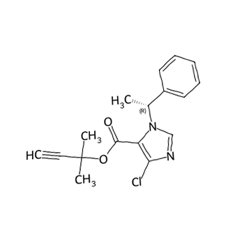 C#CC(C)(C)OC(=O)c1c(Cl)ncn1[C@H](C)c1ccccc1